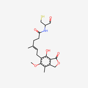 COc1c(C)c2c(c(O)c1C/C=C(\C)CCC(=O)NC(C=O)CS)C(=O)OC2